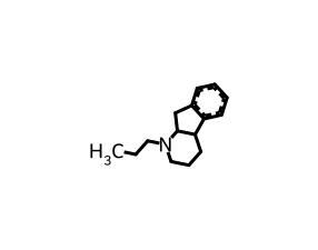 CCCN1CCCC2c3ccccc3CC21